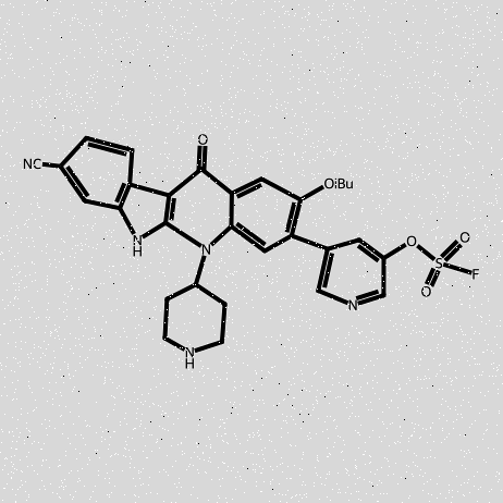 CC(C)COc1cc2c(=O)c3c4ccc(C#N)cc4[nH]c3n(C3CCNCC3)c2cc1-c1cncc(OS(=O)(=O)F)c1